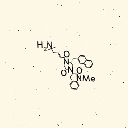 CNC(=O)[C@@H](Cc1ccccc1)N1C[C@@H](Cc2ccc3ccccc3c2)N(C(=O)C=CCC(C)(C)N)CC1=O